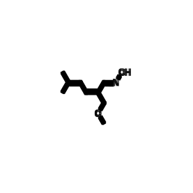 COCC(/C=N/O)=C/C=C(C)C